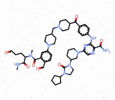 CNC(=O)C(CCC=O)N(C)C(=O)c1cc(N2CCC(CN3CCC(C(=O)c4ccc(Nc5nc(N6CCCC(N7CCN(C8CCCC8)C7=O)C6)cnc5C(N)=O)cc4)CC3)CC2)ccc1C=O